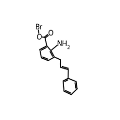 Nc1c(CC=Cc2ccccc2)cccc1C(=O)OBr